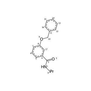 CC(C)NC(=O)c1cccc(OCc2ccccc2)c1